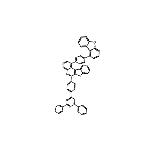 c1ccc(-c2cc(-c3ccc(-c4nc5cccc(-c6ccc(-c7cccc8oc9ccccc9c78)cc6)c5c5c4sc4ccccc45)cc3)nc(-c3ccccc3)n2)cc1